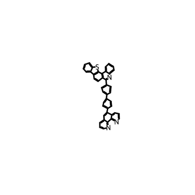 c1cnc2c(c1)cc(-c1ccc(-c3ccc(-c4nc5ccccc5c5c4ccc4c6ccccc6sc45)cc3)cc1)c1cccnc12